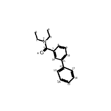 CCN(CC)C(=O)c1cccc(-c2cc[c]cc2)c1